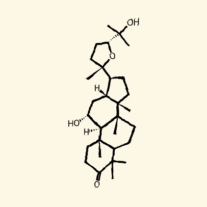 CC1(C)C(=O)CC[C@@]2(C)C1CC[C@]1(C)[C@@H]2[C@H](O)C[C@@H]2[C@@H]([C@]3(C)CC[C@H](C(C)(C)O)O3)CC[C@@]21C